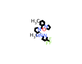 Cc1ccc(N2CCCC2)c(C(=O)N2CCC[C@@H](C)[C@H]2CNc2ccc(C(F)(F)F)cn2)c1